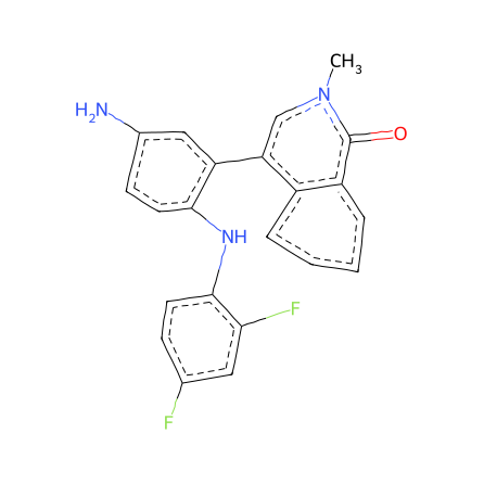 Cn1cc(-c2cc(N)ccc2Nc2ccc(F)cc2F)c2ccccc2c1=O